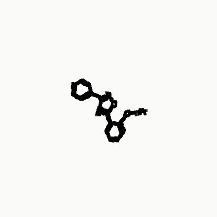 CCCOc1ccccc1-c1nc(-c2ccncc2)no1